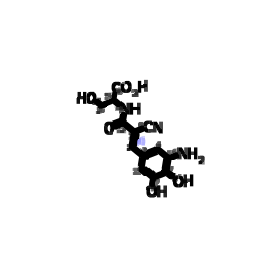 N#C/C(=C\c1cc(N)c(O)c(O)c1)C(=O)NC(CO)C(=O)O